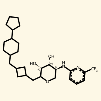 O[C@@H]1[C@@H](Nc2cccc(C(F)(F)F)n2)COC(CC2CC(CC3CCC(C4CCCC4)CC3)C2)[C@@H]1O